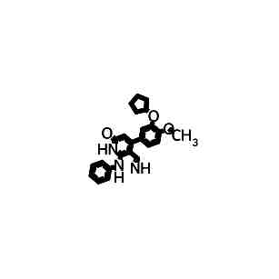 COc1ccc(-c2cc(=O)[nH]c(Nc3ccccc3)c2C=N)cc1OC1CCCC1